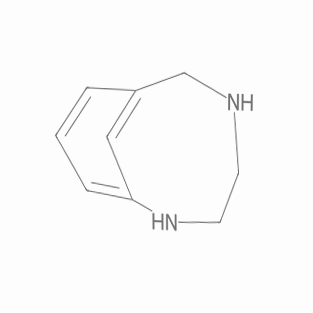 c1cc2cc(c1)NCCNC2